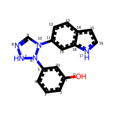 Oc1cccc(N2NN=[C]N2c2ccc3cc[nH]c3c2)c1